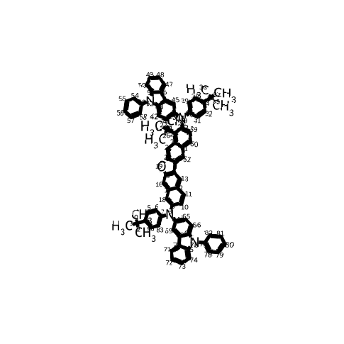 CC(C)(C)c1ccc(N(c2ccc3cc4c(cc3c2)oc2cc3c(C(C)(C)C)c(N(c5ccc(C(C)(C)C)cc5)c5ccc6c(c5)c5ccccc5n6-c5ccccc5)ccc3cc24)c2ccc3c(c2)c2ccccc2n3-c2ccccc2)cc1